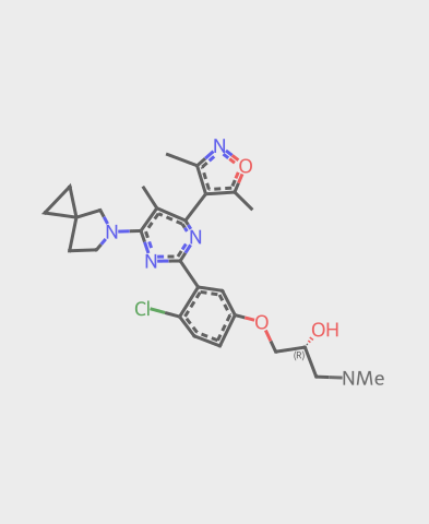 CNC[C@@H](O)COc1ccc(Cl)c(-c2nc(-c3c(C)noc3C)c(C)c(N3CCC4(CC4)C3)n2)c1